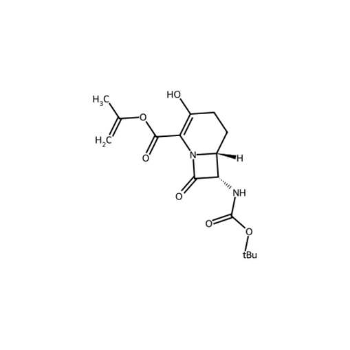 C=C(C)OC(=O)C1=C(O)CC[C@@H]2[C@H](NC(=O)OC(C)(C)C)C(=O)N12